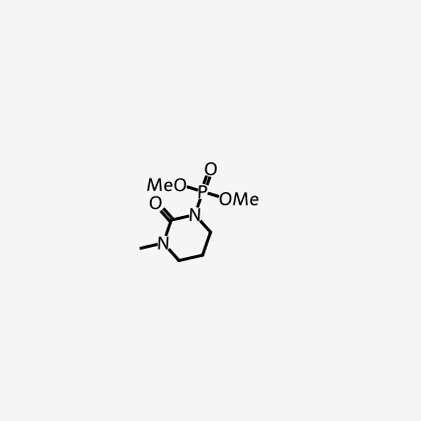 COP(=O)(OC)N1CCCN(C)C1=O